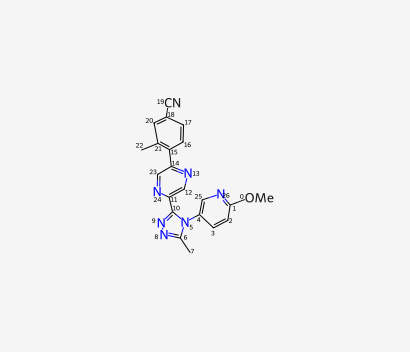 COc1ccc(-n2c(C)nnc2-c2cnc(-c3ccc(C#N)cc3C)cn2)cn1